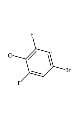 Fc1[c]c(Br)cc(F)c1Cl